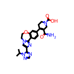 CC(C)n1ncnc1-c1cn2c(n1)-c1ccc(C3=C(C(N)=O)CN(C(=O)O)CC3)cc1OCC2